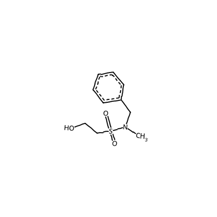 CN(Cc1ccccc1)S(=O)(=O)CCO